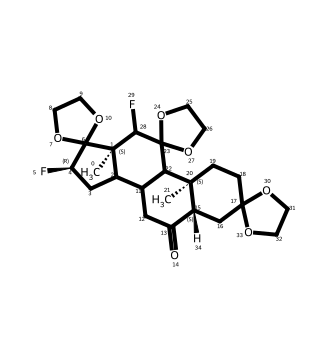 C[C@]12C(C[C@@H](F)C13OCCO3)C1CC(=O)[C@H]3CC4(CC[C@]3(C)C1C1(OCCO1)C2F)OCCO4